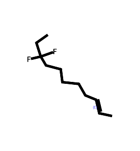 C/C=C/CCCCCC(F)(F)CC